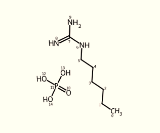 CCCCCCNC(=N)N.O=P(O)(O)O